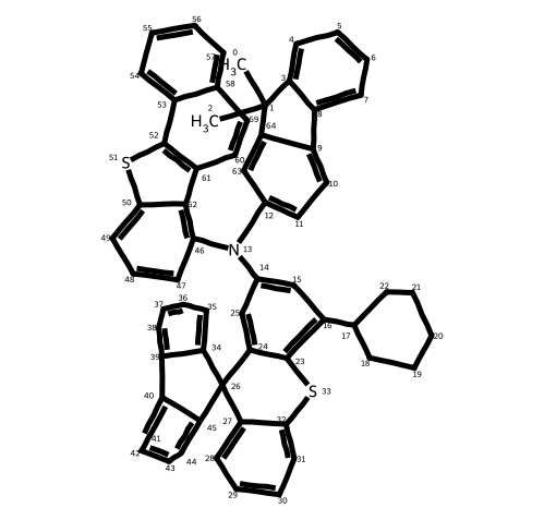 CC1(C)c2ccccc2-c2ccc(N(c3cc(C4CCCCC4)c4c(c3)C3(c5ccccc5S4)c4ccccc4-c4ccccc43)c3cccc4sc5c6ccccc6ccc5c34)cc21